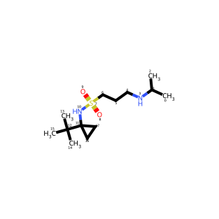 CC(C)NCCCS(=O)(=O)NC1(C(C)(C)C)CC1